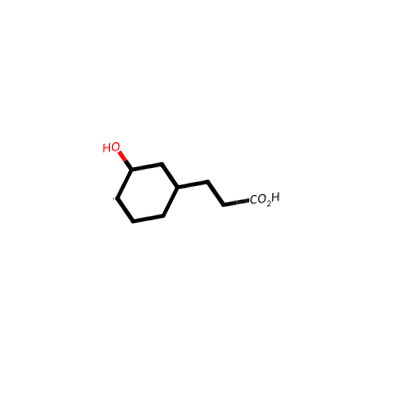 O=C(O)CCC1CC[CH]C(O)C1